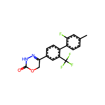 Cc1ccc(-c2ccc(C3=NNC(=O)OC3)cc2C(F)(F)F)c(F)c1